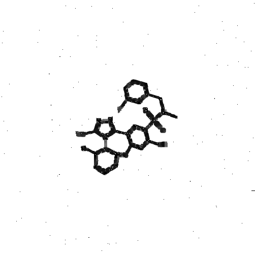 CN(Cc1cccc(F)c1)S(=O)(=O)c1cc(-c2nnc(O)n2-c2ccccc2Cl)c(O)cc1O